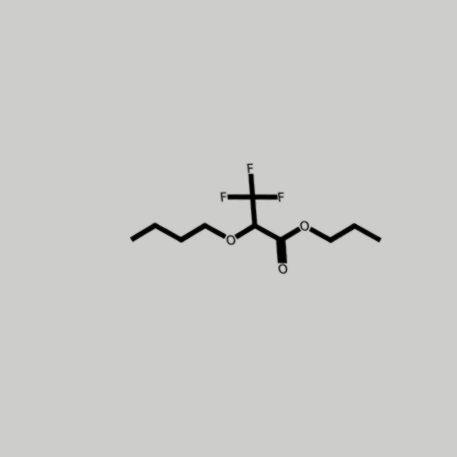 CCCCOC(C(=O)OCCC)C(F)(F)F